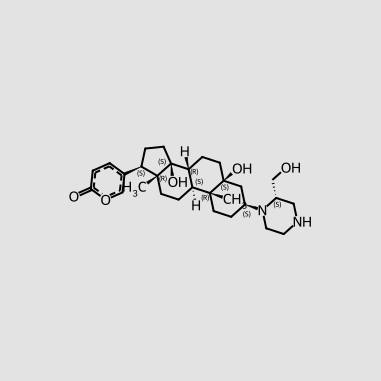 C[C@]12CC[C@H](N3CCNC[C@H]3CO)C[C@@]1(O)CC[C@@H]1[C@@H]2CC[C@]2(C)[C@@H](c3ccc(=O)oc3)CC[C@]12O